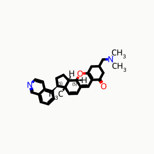 CN(C)CC1CC(=O)C2=C(C1)O[C@@H]1C(=C2)C=C[C@]2(C)[C@@H](c3cccc4cnccc34)CC[C@@H]12